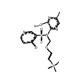 COc1nc(C)cnc1N(COCC[Si](C)(C)C)S(=O)(=O)c1cnccc1Cl